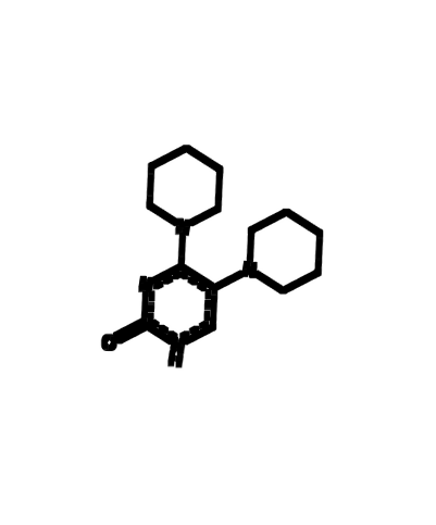 O=c1nc(N2CCCCC2)c(N2CCCCC2)c[nH]1